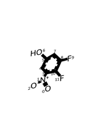 O=[N+]([O-])c1cc(O)cc(F)c1F